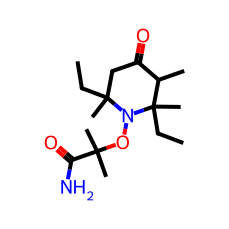 CCC1(C)CC(=O)C(C)C(C)(CC)N1OC(C)(C)C(N)=O